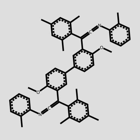 COc1ccc(-c2ccc(OC)c(C(=C=Nc3ccccc3C)c3c(C)cc(C)cc3C)c2)cc1C(=C=Nc1ccccc1C)c1c(C)cc(C)cc1C